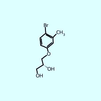 Cc1cc(OC[C@H](O)CO)ccc1Br